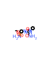 CCOc1ccc(/N=N/C2C(=O)N(c3ccccc3)N=C2C(N)=O)cc1S(N)(=O)=O